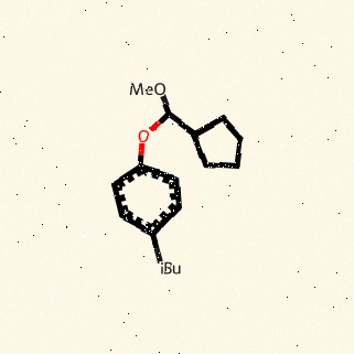 CCC(C)c1ccc(OC(OC)C2CCCC2)cc1